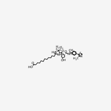 Cc1ncsc1-c1ccc([C@H](C)NC(=O)[C@@H]2C[C@@H](O)CN2C(=O)[C@@H](NC(=O)CCCCCCCCCCCC(=O)O)C(C)(C)C)cc1